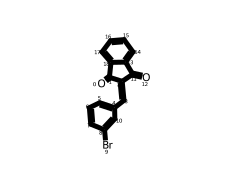 O=C1C(=Cc2cccc(Br)c2)C(=O)c2ccccc21